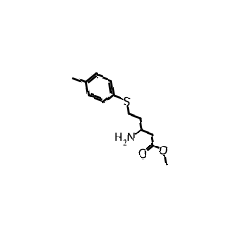 COC(=O)CC(N)CCSc1ccc(C)cc1